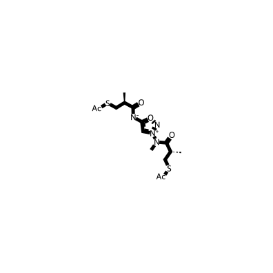 CC(=O)SC[C@@H](C)C(=O)[N-]c1c[n+](N(C)C(=O)[C@H](C)CSC(C)=O)no1